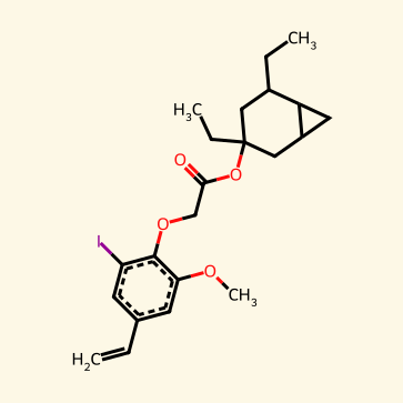 C=Cc1cc(I)c(OCC(=O)OC2(CC)CC(CC)C3CC3C2)c(OC)c1